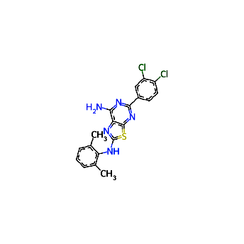 Cc1cccc(C)c1Nc1nc2c(N)nc(-c3ccc(Cl)c(Cl)c3)nc2s1